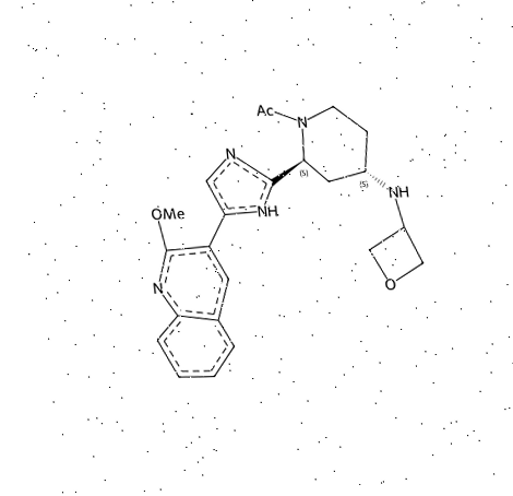 COc1nc2ccccc2cc1-c1cnc([C@@H]2C[C@@H](NC3COC3)CCN2C(C)=O)[nH]1